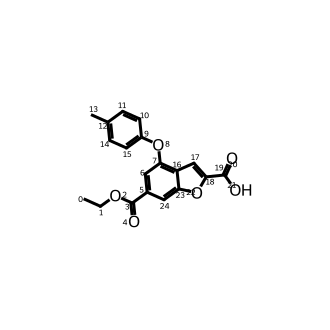 CCOC(=O)c1cc(Oc2ccc(C)cc2)c2cc(C(=O)O)oc2c1